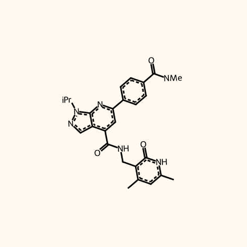 CNC(=O)c1ccc(-c2cc(C(=O)NCc3c(C)cc(C)[nH]c3=O)c3cnn(C(C)C)c3n2)cc1